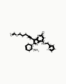 N[C@@H]1CC=CC[C@H]1c1sc2c(NCc3cccs3)cc(Cl)nc2c1C#CCCCOC=O